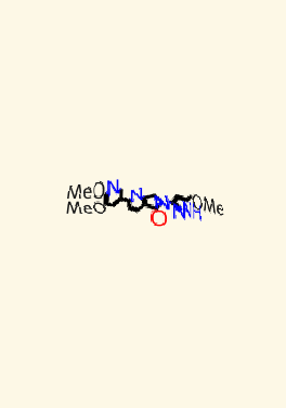 COCc1cc(N2Cc3nc(-c4cnc(OC)c(OC)c4)ccc3C2=O)n[nH]1